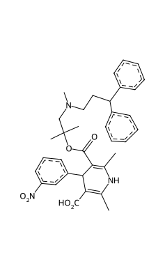 CC1=C(C(=O)O)C(c2cccc([N+](=O)[O-])c2)C(C(=O)OC(C)(C)CN(C)CCC(c2ccccc2)c2ccccc2)=C(C)N1